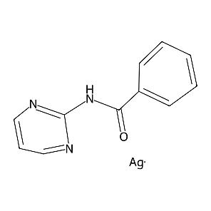 O=C(Nc1ncccn1)c1ccccc1.[Ag]